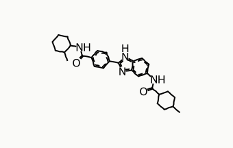 CC1CCC(C(=O)Nc2ccc3[nH]c(-c4ccc(C(=O)NC5CCCCC5C)cc4)nc3c2)CC1